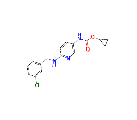 O=C(Nc1ccc(NCc2cccc(Cl)c2)nc1)OC1CC1